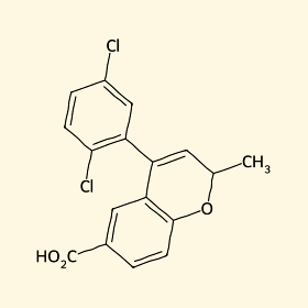 CC1C=C(c2cc(Cl)ccc2Cl)c2cc(C(=O)O)ccc2O1